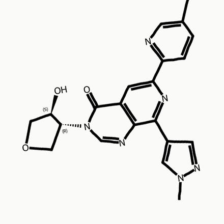 Cc1ccc(-c2cc3c(=O)n([C@@H]4COC[C@H]4O)cnc3c(-c3cnn(C)c3)n2)nc1